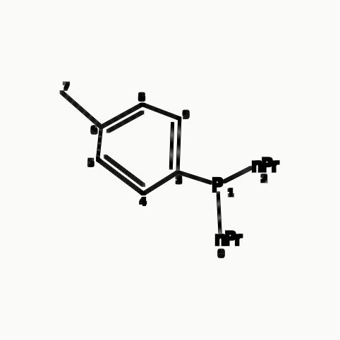 CCCP(CCC)c1ccc(C)cc1